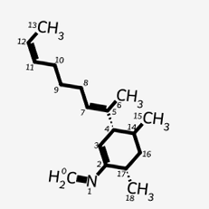 C=NC1=C[C@H](/C(C)=C/CCC/C=C\C)C(C)C[C@@H]1C